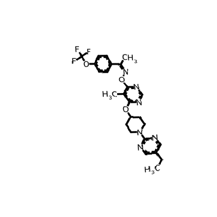 CCc1cnc(N2CCC(Oc3ncnc(ON=C(C)c4ccc(OC(F)(F)F)cc4)c3C)CC2)nc1